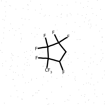 FC1CC(F)(F)C(F)(F)C1(F)C(F)(F)F